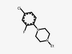 CCN1CCN(c2ccc(Cl)cc2F)CC1